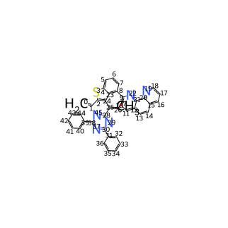 C=Cc1sc2cccc(-c3ccc4ccc5cccnc5c4n3)c2c1/C(=C\C)c1nc(-c2ccccc2)nc(-c2ccccc2)n1